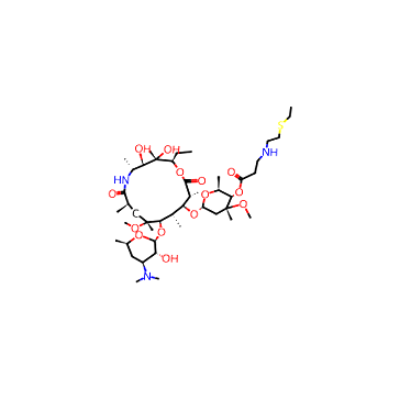 CCSCCNCCC(=O)O[C@H]1[C@H](C)O[C@@H](O[C@H]2[C@H](C)[C@@H](O[C@@H]3O[C@H](C)C[C@H](N(C)C)[C@H]3O)[C@](C)(OC)C[C@@H](C)C(=O)N[C@H](C)[C@@H](O)[C@](C)(O)[C@@H](CC)OC(=O)[C@@H]2C)C[C@@]1(C)OC